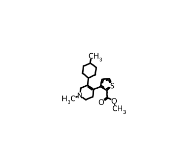 COC(=O)c1sccc1C1=C(C2CCC(C)CC2)CN(C)CC1